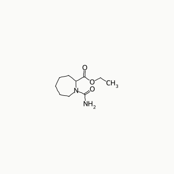 CCOC(=O)C1CCCCCN1C(N)=O